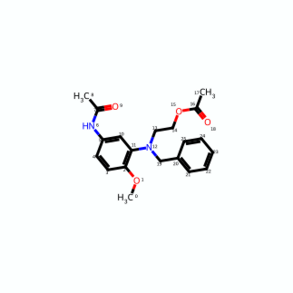 COc1ccc(NC(C)=O)cc1N(CCOC(C)=O)Cc1ccccc1